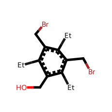 CCc1c(CO)c(CC)c(CBr)c(CC)c1CBr